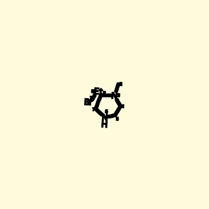 CCBr.CN1CCNCC1